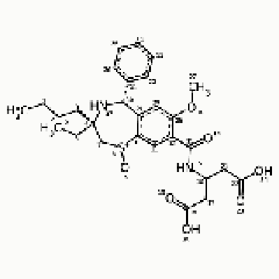 CCCC[C@]1(CC)C[S+]([O-])c2cc(C(=O)NC(CC(=O)O)CC(=O)O)c(OC)cc2[C@@H](c2ccccc2)N1